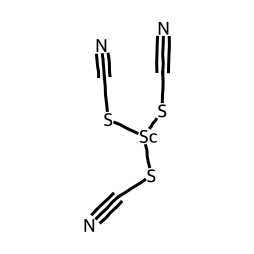 N#C[S][Sc]([S]C#N)[S]C#N